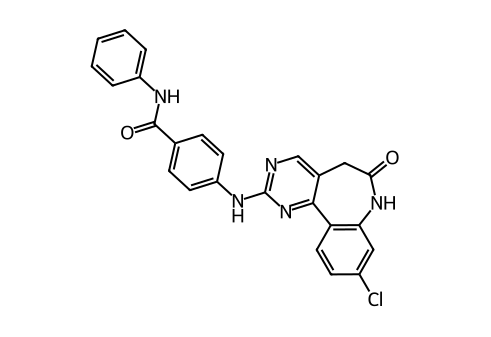 O=C1Cc2cnc(Nc3ccc(C(=O)Nc4ccccc4)cc3)nc2-c2ccc(Cl)cc2N1